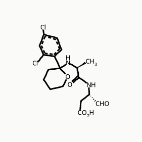 C[C@H](NC1(c2ccc(Cl)cc2Cl)CCCCO1)C(=O)N[C@H](C=O)CC(=O)O